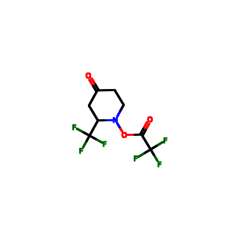 O=C1CCN(OC(=O)C(F)(F)F)C(C(F)(F)F)C1